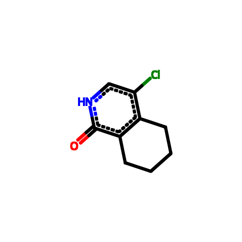 O=c1[nH]cc(Cl)c2c1CCCC2